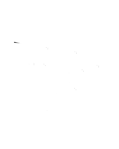 Cc1nc2cnc(-c3cnc([C@]4(O)C[C@@](C)(O)C4)nc3)cn2c1CN1C(=O)COc2c(Cl)cccc21